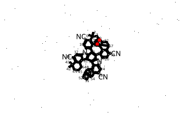 CC1(C)CCCc2c1c(C#N)cc1c2c2c3c4c5c(c(C#N)cc4n4c6cc(C#N)c7c(c6c(c6c8c9c(c(C#N)cc8n1c26)C(C)(C)CCC9)c34)C1CC2CC3CC7CC321)C1CC2CC(C1)C5C2